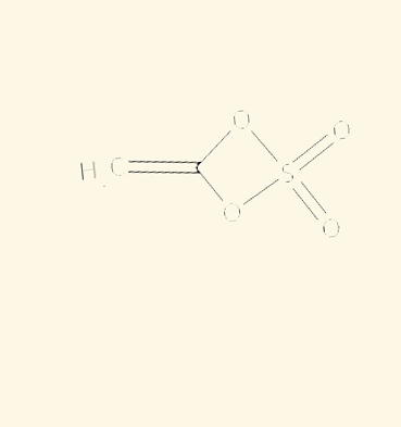 C=C1OS(=O)(=O)O1